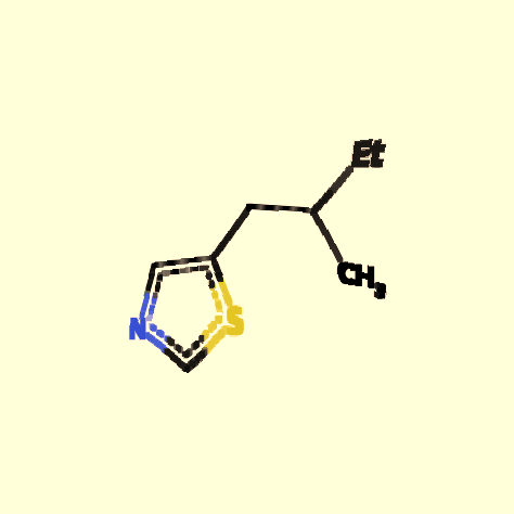 CCC(C)Cc1cncs1